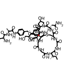 CC[C@H](C)[C@@H]1NC(=O)CNC(=O)C2Cc3c([nH]c4ccc(OCc5ccc(NC(=O)[C@H](C)NC(=O)[C@@H](N)C(C)C)cc5)cc34)SCC(NC(=O)CNC1=O)C(=O)N[C@@H](CC(N)=O)C(=O)N1CC(O)C[C@H]1C(=O)N[C@@H]([C@@H](C)[C@@H](O)CO)C(=O)N2